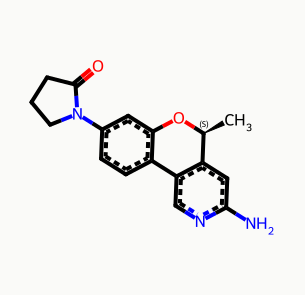 C[C@@H]1Oc2cc(N3CCCC3=O)ccc2-c2cnc(N)cc21